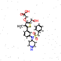 Cc1c(-c2cccc(N(C3CCNCC3)S(=O)(=O)Cc3ccccc3)c2)sc(CO)c1OCC(=O)O